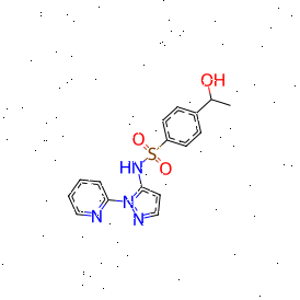 CC(O)c1ccc(S(=O)(=O)Nc2ccnn2-c2ccccn2)cc1